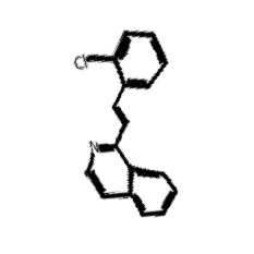 Clc1ccccc1C=Cc1nccc2ccccc12